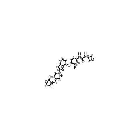 O=C(Nc1ccc(Oc2ccnc3cc(-c4ccc(CN5CCOC5=O)cn4)sc23)c(F)c1)NC1COC1